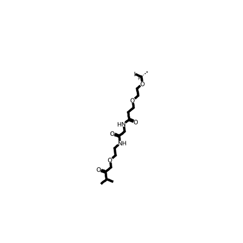 CC(C)C(=O)COCCNC(=O)CNC(=O)CCOCCO[C@@H](C)I